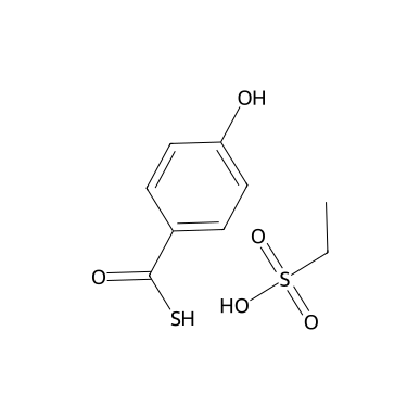 CCS(=O)(=O)O.O=C(S)c1ccc(O)cc1